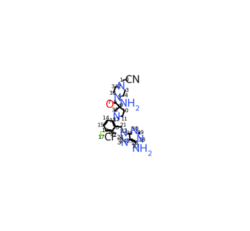 N#CCN1CCN(C(=O)C2(N)CCN(c3ccc(F)c(C(F)(F)F)c3Cn3cnc4c(N)ncnc43)C2)CC1